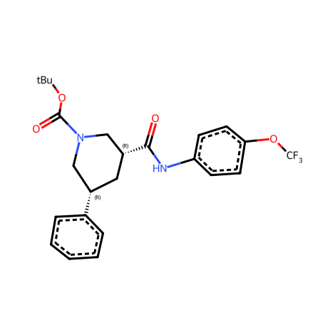 CC(C)(C)OC(=O)N1C[C@H](C(=O)Nc2ccc(OC(F)(F)F)cc2)C[C@H](c2ccccc2)C1